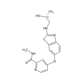 CNC(=O)c1cc(Oc2ccc3nc(NC[C@@H](C)O)sc3c2)ccn1